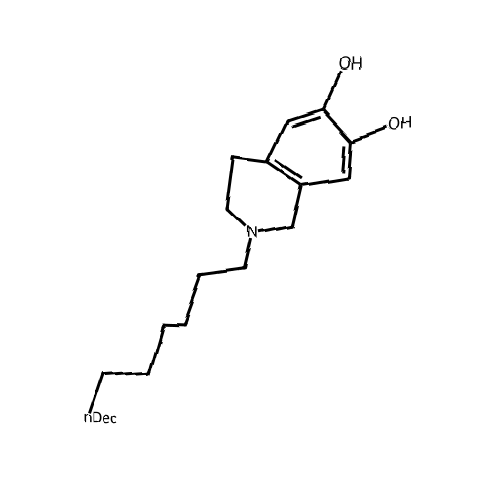 CCCCCCCCCCCCCCCCN1CCc2cc(O)c(O)cc2C1